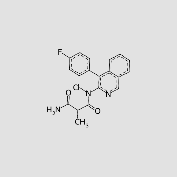 CC(C(N)=O)C(=O)N(Cl)c1ncc2ccccc2c1-c1ccc(F)cc1